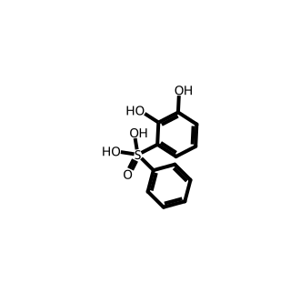 O=S(O)(O)(c1ccccc1)c1cccc(O)c1O